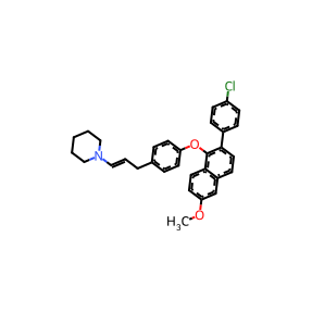 COc1ccc2c(Oc3ccc(C/C=C/N4CCCCC4)cc3)c(-c3ccc(Cl)cc3)ccc2c1